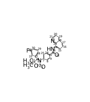 CC1(C)OC(=O)N(c2ccc(C(=O)Nc3cccc4cccnc34)cc2)[C@H]1c1cccc(F)c1